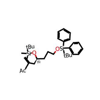 C=C(C[C@H](CCCO[Si](c1ccccc1)(c1ccccc1)C(C)(C)C)O[Si](C)(C)C(C)(C)C)C(C)=O